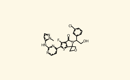 Cn1nccc1Nc1nccc(-c2sc3c(c2F)C(=O)N(C(CO)c2cccc(Cl)c2)C32COC2)n1